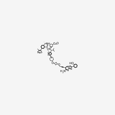 Cc1ncsc1-c1ccc([C@H](C)NC(=O)[C@@H]2C[C@@H](OC=O)CN2C(=O)[C@H](c2cc(N3CCC(OC4CC(OCC#Cc5cn6cc(-c7ccccc7O)nc6nc5N)C4)CC3)no2)C(C)C)cc1